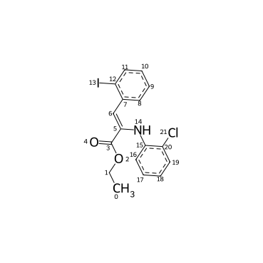 CCOC(=O)/C(=C/c1ccccc1I)Nc1ccccc1Cl